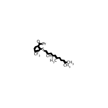 CC(C)=CCC/C(C)=C/CC/C(C)=C/CSc1cc(C(F)(F)F)ccc1C(=O)C(C)C